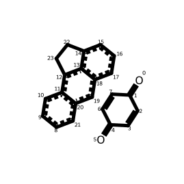 O=C1C=CC(=O)C=C1.c1ccc2c3c4c(cccc4cc2c1)CC3